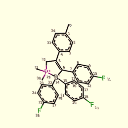 Cc1ccc(C2=C(c3ccc(F)cc3)[B-](c3ccc(F)cc3)(c3ccc(F)cc3)[P+](C)(C)C2)cc1